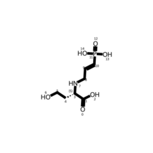 O=C(O)[C@H](CCO)NCC=CP(=O)(O)O